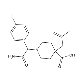 C=C(C)CC1(C(=O)O)CCN(C(C(N)=O)c2ccc(F)cc2)CC1